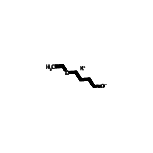 C=COCCCC[O-].[K+]